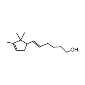 CC1=CCC(C=CCCCCO)C1(C)C